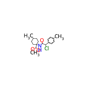 COC(=O)C1(NC(=O)C(Cl)c2ccc(C)cc2)CCC(C)CC1